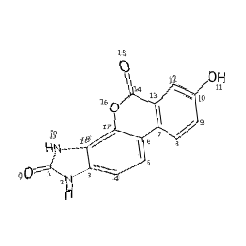 O=c1[nH]c2ccc3c4ccc(O)cc4c(=O)oc3c2[nH]1